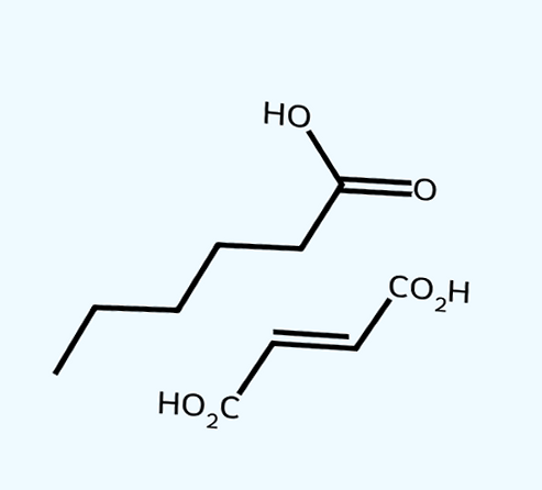 CCCCCC(=O)O.O=C(O)C=CC(=O)O